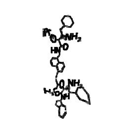 CC(C)OC(C(=O)NCc1cccc2c(CC(C)OC(C(=O)NC3CCc4ccccc43)[C@H](N)CC3CCCCC3)cccc12)[C@H](N)CC1CCCCC1